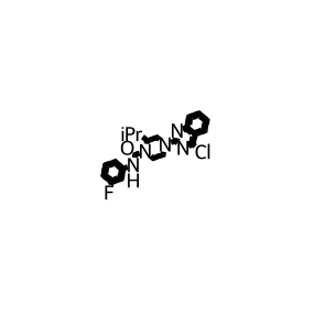 CC(C)C1CN(c2nc(Cl)c3ccccc3n2)CCN1C(=O)Nc1cccc(F)c1